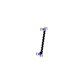 CCN(CC)CCCCCCCCCCCCCCCCCC(C)(C)N(CC)CC